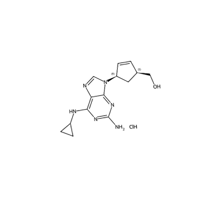 Cl.Nc1nc(NC2CC2)c2ncn([C@H]3C=C[C@@H](CO)C3)c2n1